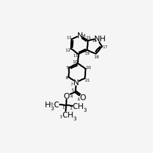 CC(C)(C)OC(=O)N1CC=C(c2ccnc3[nH]ccc23)CC1